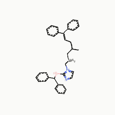 CC(CC=C(c1ccccc1)c1ccccc1)C[SiH2]Cn1ccnc1BC(c1ccccc1)c1ccccc1